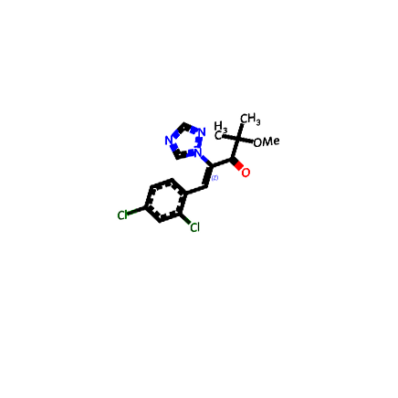 COC(C)(C)C(=O)/C(=C/c1ccc(Cl)cc1Cl)n1cncn1